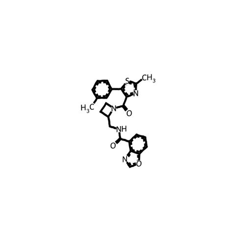 Cc1cccc(-c2sc(C)nc2C(=O)N2CCC2CNC(=O)c2cccc3ocnc23)c1